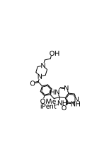 CCCC(C)NC1(Cc2ccc(C(=O)N3CCN(CCO)CC3)cc2OC)NC=Nc2cn[nH]c(=O)c21